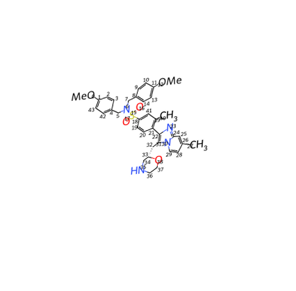 COc1ccc(CN(Cc2ccc(OC)cc2)S(=O)(=O)c2ccc(-c3nc4cc(C)ccn4c3C[C@H]3CNCCO3)c(C)c2)cc1